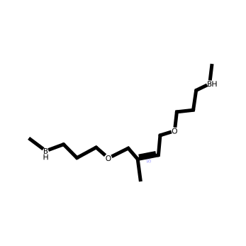 CBCCCOC/C=C(/C)COCCCBC